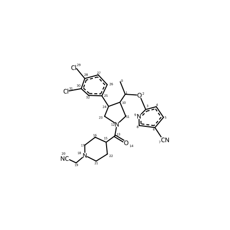 CC(Oc1ccc(C#N)cn1)C1CN(C(=O)C2CCN(CC#N)CC2)CC1c1ccc(Cl)c(Cl)c1